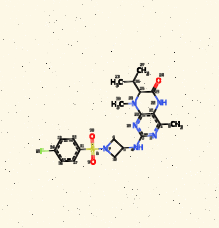 Cc1nc(NC2CN(S(=O)(=O)c3ccc(F)cc3)C2)nc2c1NC(=O)C(C(C)C)N2C